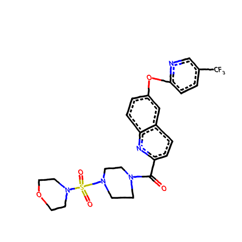 O=C(c1ccc2cc(Oc3ccc(C(F)(F)F)cn3)ccc2n1)N1CCN(S(=O)(=O)N2CCOCC2)CC1